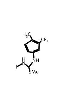 CSC(NI)Nc1ccc(C)c(C(F)(F)F)c1